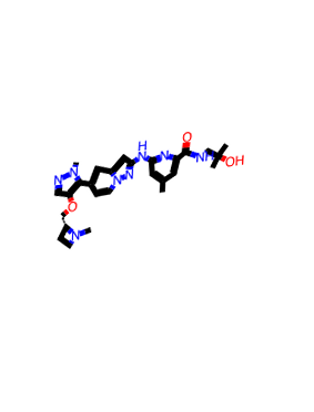 Cc1cc(Nc2cc3cc(-c4c(OC[C@H]5CCN5C)cnn4C)ccn3n2)nc(C(=O)NCC(C)(C)O)c1